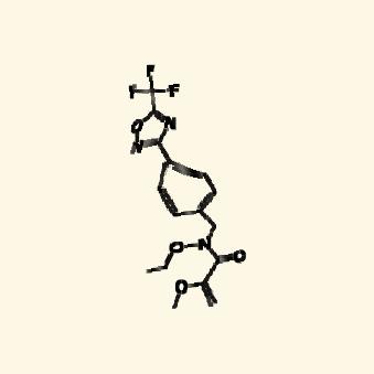 C=C(OC)C(=O)N(Cc1ccc(-c2noc(C(F)(F)F)n2)cc1)OCC